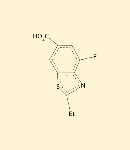 CCc1nc2c(F)cc(C(=O)O)cc2s1